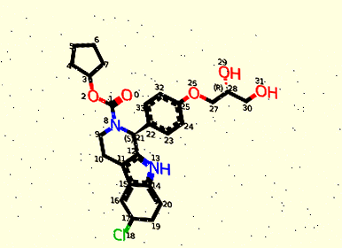 O=C(OC1CCCC1)N1CCc2c([nH]c3c2=CC(Cl)CC=3)[C@@H]1c1ccc(OC[C@H](O)CO)cc1